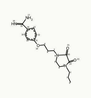 CCCN1CCN(CCCOc2ccc(C(=N)N)cc2)C(=O)C1=O